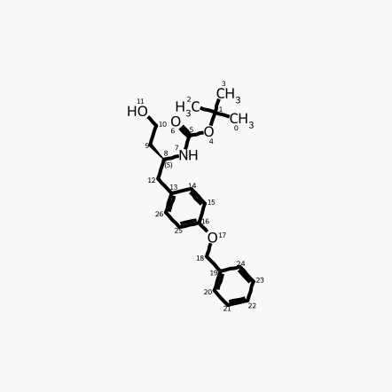 CC(C)(C)OC(=O)N[C@H](CCO)Cc1ccc(OCc2ccccc2)cc1